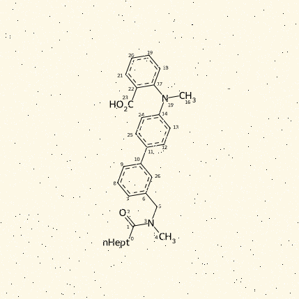 CCCCCCCC(=O)N(C)Cc1cccc(-c2ccc(N(C)c3ccccc3C(=O)O)cc2)c1